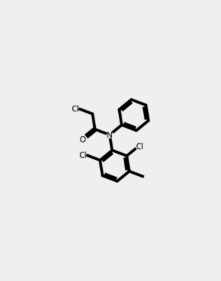 Cc1ccc(Cl)c(N(C(=O)CCl)c2ccccc2)c1Cl